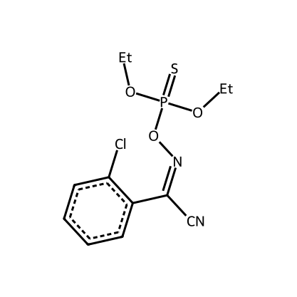 CCOP(=S)(OCC)O/N=C(/C#N)c1ccccc1Cl